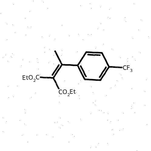 CCOC(=O)C(C(=O)OCC)=C(C)c1ccc(C(F)(F)F)cc1